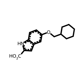 O=C(O)c1cc2cc(OCC3CCCCC3)ccc2[nH]1